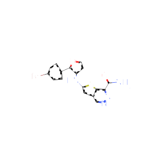 NC(=O)c1nncc2cc(Nc3ccoc3-c3ccc(Br)cc3)sc12